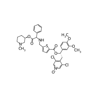 COc1ccc([C@H](Cc2c(Cl)c[n+]([O-])cc2Cl)OC(=O)c2ccc(CNC(C(=O)O[C@@H]3CCCN(C)C3)c3ccccc3)s2)cc1OC